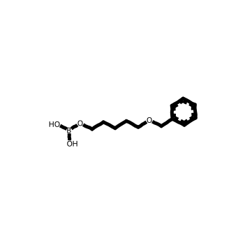 OB(O)OCCCCCOCc1ccccc1